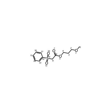 COCCCOC(=O)CS(=O)(=O)c1ccccc1